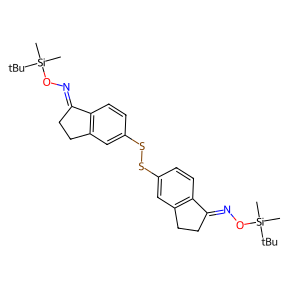 CC(C)(C)[Si](C)(C)ON=C1CCc2cc(SSc3ccc4c(c3)CCC4=NO[Si](C)(C)C(C)(C)C)ccc21